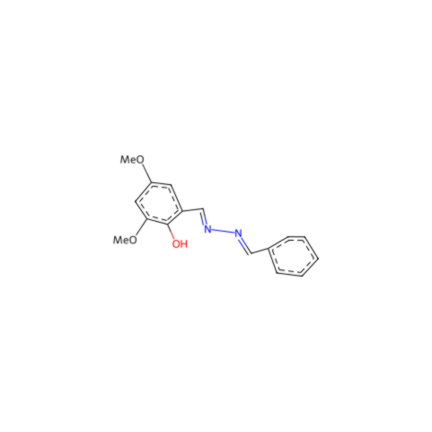 COc1cc(C=NN=Cc2ccccc2)c(O)c(OC)c1